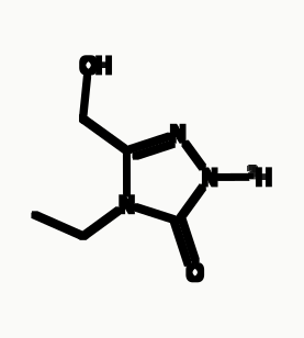 [2H]n1nc(CO)n(CC)c1=O